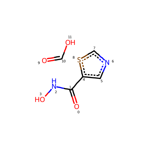 O=C(NO)c1cncs1.O=CO